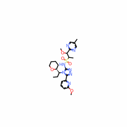 CCC([C@@H]1CCCCO1)n1c(NS(=O)(=O)C(C)C(OC)c2ncc(C)cn2)nnc1-c1cccc(OC)n1